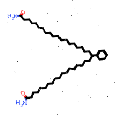 NC(=O)CCCCCCCCCCCCCCCCCCC(CCCCCCCCCCCCCCCCCC(N)=O)c1ccccc1